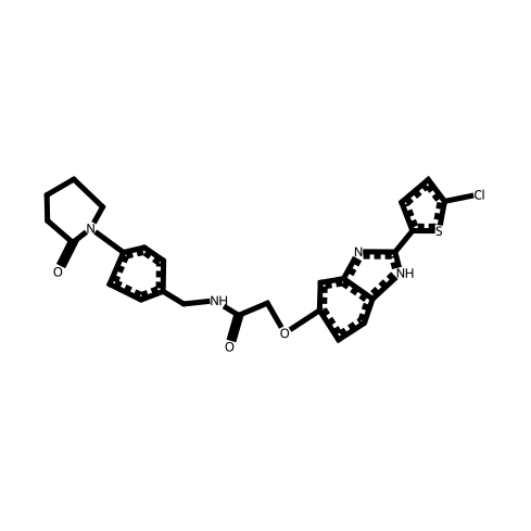 O=C(COc1ccc2[nH]c(-c3ccc(Cl)s3)nc2c1)NCc1ccc(N2CCCCC2=O)cc1